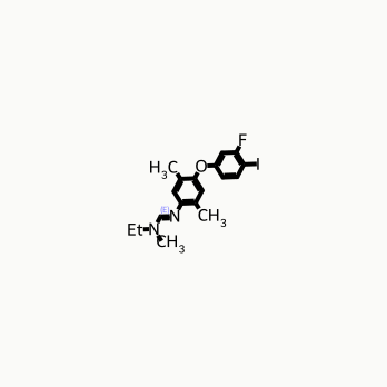 CCN(C)/C=N/c1cc(C)c(Oc2ccc(I)c(F)c2)cc1C